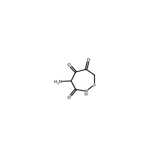 NC1C(=O)NSCC(=O)C1=O